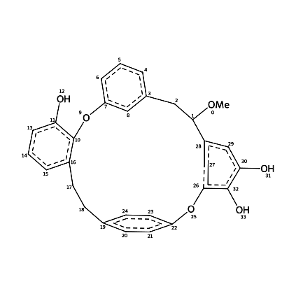 COC1Cc2cccc(c2)Oc2c(O)cccc2CCc2ccc(cc2)Oc2cc1cc(O)c2O